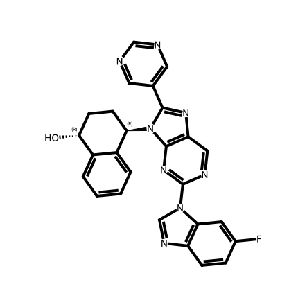 O[C@@H]1CC[C@@H](n2c(-c3cncnc3)nc3cnc(-n4cnc5ccc(F)cc54)nc32)c2ccccc21